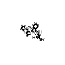 CC(C)c1cc(Nc2nc(N3CCC[C@H]3C(=O)N3CCCC3)nc3c2CCCC3)n[nH]1